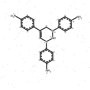 Nc1ccc(C2=CN(c3ccc(N)cc3)NN(c3ccc(N)cc3)C2)cc1